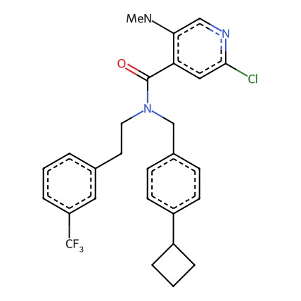 CNc1cnc(Cl)cc1C(=O)N(CCc1cccc(C(F)(F)F)c1)Cc1ccc(C2CCC2)cc1